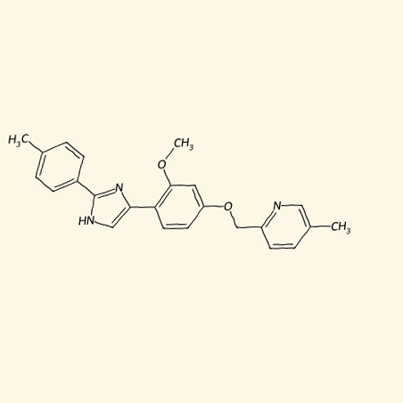 COc1cc(OCc2ccc(C)cn2)ccc1-c1c[nH]c(-c2ccc(C)cc2)n1